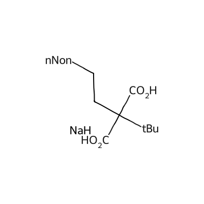 CCCCCCCCCCCC(C(=O)O)(C(=O)O)C(C)(C)C.[NaH]